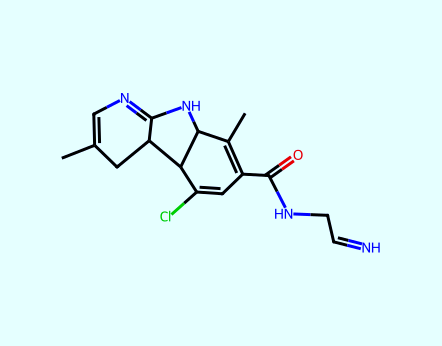 CC1=CN=C2NC3C(C)=C(C(=O)NCC=N)C=C(Cl)C3C2C1